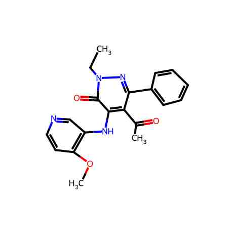 CCn1nc(-c2ccccc2)c(C(C)=O)c(Nc2cnccc2OC)c1=O